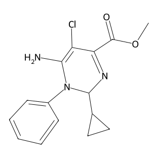 COC(=O)C1=NC(C2CC2)N(c2ccccc2)C(N)=C1Cl